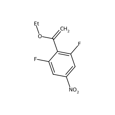 C=C(OCC)c1c(F)cc([N+](=O)[O-])cc1F